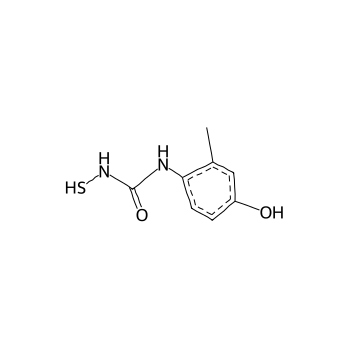 Cc1cc(O)ccc1NC(=O)NS